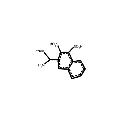 CCCCCCCCCC(N)c1cc2ccccc2c(S(=O)(=O)O)c1S(=O)(=O)O